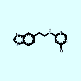 Clc1cc(NCCc2ccc3scnc3c2)ncn1